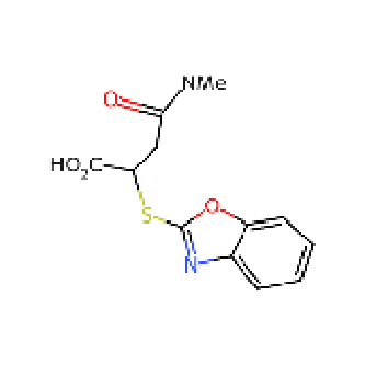 CNC(=O)CC(Sc1nc2ccccc2o1)C(=O)O